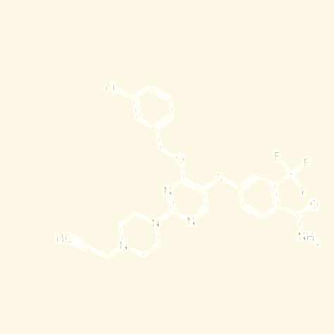 C#CCN1CCN(c2ncc(Sc3ccc(C(N)=O)c(C(F)(F)F)c3)c(OCc3cccc(Cl)c3)n2)CC1